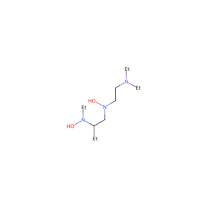 CCC(CN(O)CCN(CC)CC)N(O)CC